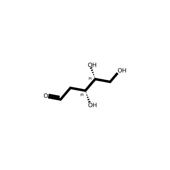 O=CC[C@@H](O)[C@H](O)CO